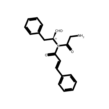 NCC(=O)N(C(=O)C=Cc1ccccc1)[C@H]([C]=O)Cc1ccccc1